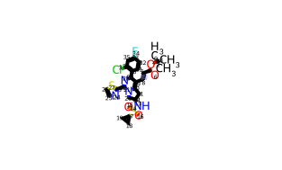 CC(C)(C)OC(=O)/C=C/C1=C2C[C@H](NS(=O)(=O)C3CC3)CN2C(c2nccs2)=NC1c1ccc(F)cc1Cl